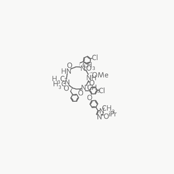 COC[C@@H]1NC(=O)[C@H](C)N(Cc2ccc(Cl)cc2Oc2ccc(-c3cnc(OC(C)C)n3C)cc2)C(=O)C[C@@H](Cc2ccccc2)C(=O)N(C)[C@@H](C)CNC(=O)C[C@H](Cc2ccc(Cl)cc2)N(C)C1=O